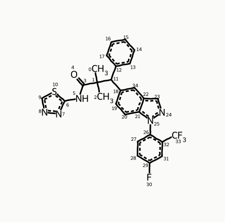 CC(C)(C(=O)Nc1nncs1)C(c1ccccc1)c1ccc2c(cnn2-c2ccc(F)cc2C(F)(F)F)c1